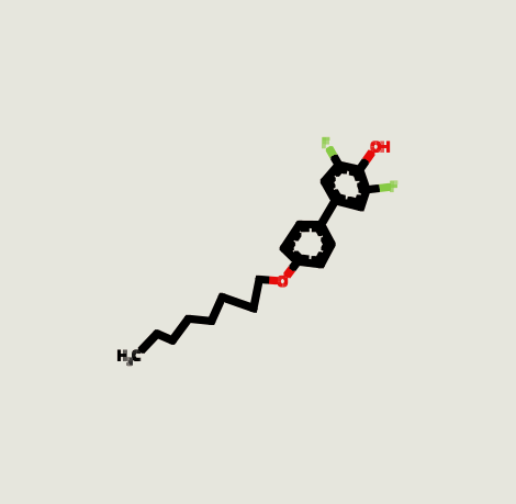 CCCCCCCCOc1ccc(-c2cc(F)c(O)c(F)c2)cc1